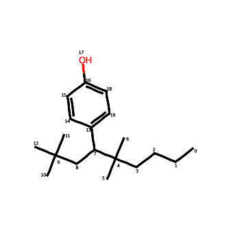 CCCCC(C)(C)C(CC(C)(C)C)c1ccc(O)cc1